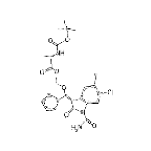 CC(NC(=O)OC(C)(C)C)C(=O)OCOC(=C1C(=O)N(C(N)=O)c2cc(Cl)c(F)cc21)c1cccs1